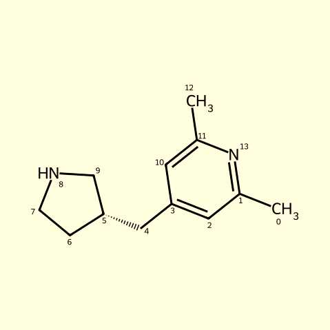 Cc1cc(C[C@@H]2CCNC2)cc(C)n1